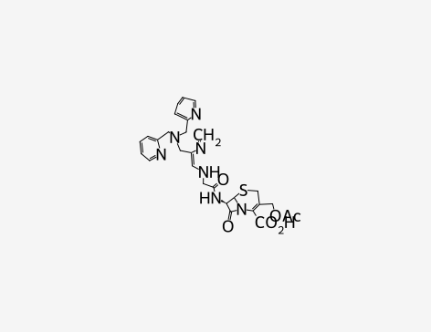 C=N/C(=C\NCC(=O)N[C@@H]1C(=O)N2C(C(=O)O)=C(COC(C)=O)CSC12)CN(Cc1ccccn1)Cc1ccccn1